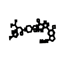 CNC1CCc2cc(Cl)c(-c3snc4c(=O)n(CC5(O)CCN(C(=O)CC(C(F)F)n6ccc(F)n6)CC5)cnc34)cc21